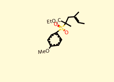 CC=C(C)CC(C)(C(=O)OCC)S(=O)(=O)c1ccc(OC)cc1